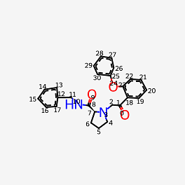 O=C(CN1CCC[C@H]1C(=O)NCc1ccccc1)c1ccccc1Oc1ccccc1